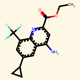 CCOC(=O)c1cc(N)c2cc(C3CC3)cc(C(F)(F)F)c2n1